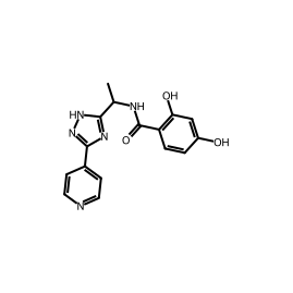 CC(NC(=O)c1ccc(O)cc1O)c1nc(-c2ccncc2)n[nH]1